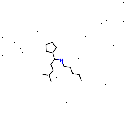 CCCCC[N]C(CCC(C)C)C1CCCC1